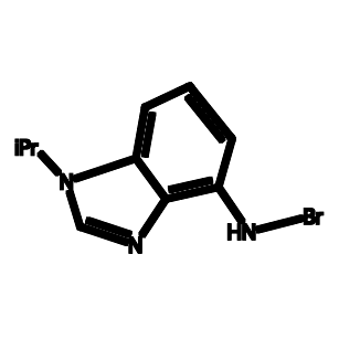 CC(C)n1cnc2c(NBr)cccc21